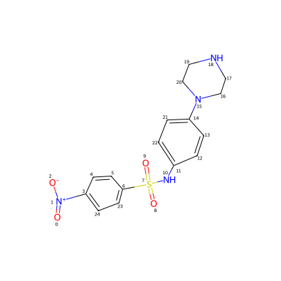 O=[N+]([O-])c1ccc(S(=O)(=O)Nc2ccc(N3CCNCC3)cc2)cc1